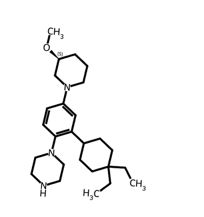 CCC1(CC)CCC(c2cc(N3CCC[C@H](OC)C3)ccc2N2CCNCC2)CC1